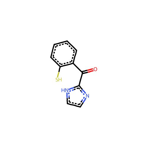 O=C(c1ncc[nH]1)c1ccccc1S